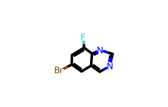 Fc1cc(Br)cc2cncnc12